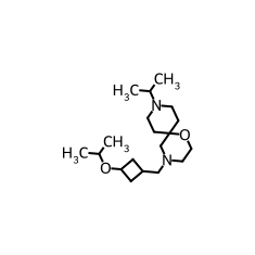 CC(C)OC1CC(CN2CCOC3(CCN(C(C)C)CC3)C2)C1